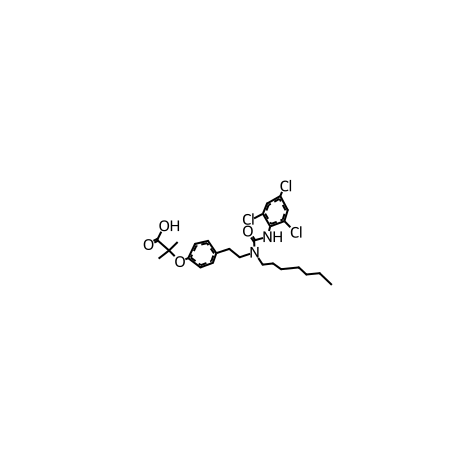 CCCCCCCN(CCc1ccc(OC(C)(C)C(=O)O)cc1)C(=O)Nc1c(Cl)cc(Cl)cc1Cl